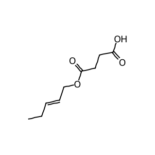 CC/C=C/COC(=O)CCC(=O)O